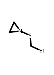 CCCSN1CC1